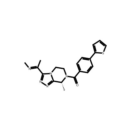 C/N=C(\C)c1nnc2n1CCN(C(=O)c1ccc(-c3cccs3)cc1)[C@@H]2C